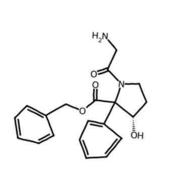 NCC(=O)N1CC[C@H](O)C1(C(=O)OCc1ccccc1)c1ccccc1